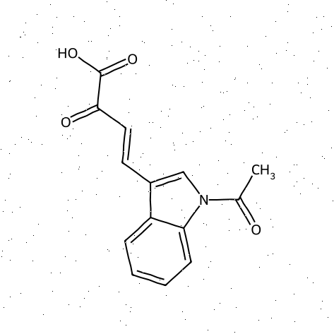 CC(=O)n1cc(/C=C/C(=O)C(=O)O)c2ccccc21